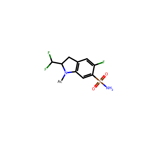 CC(=O)N1c2cc(S(N)(=O)=O)c(F)cc2CC1C(F)F